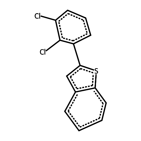 Clc1cccc(-c2cc3ccccc3s2)c1Cl